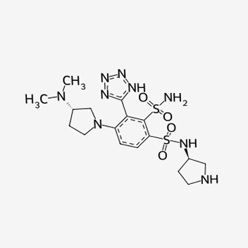 CN(C)[C@H]1CCN(c2ccc(S(=O)(=O)N[C@@H]3CCNC3)c(S(N)(=O)=O)c2-c2nnn[nH]2)C1